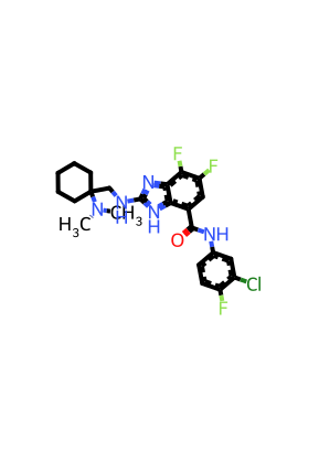 CN(C)C1(CNc2nc3c(F)c(F)cc(C(=O)Nc4ccc(F)c(Cl)c4)c3[nH]2)CCCCC1